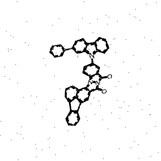 O=c1c2cc(-n3c4ccccc4c4ccc(-c5ccccc5)cc43)ccc2n2c3c(cc4c5c(cccc53)-c3ccccc3-4)c(=O)n12